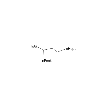 CCCCCCC[CH]CC(CCCC)CCCCC